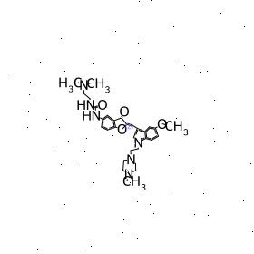 COc1ccc2c(c1)c(/C=C1\Oc3ccc(NC(=O)NCCN(C)C)cc3C1=O)cn2CCN1CCN(C)CC1